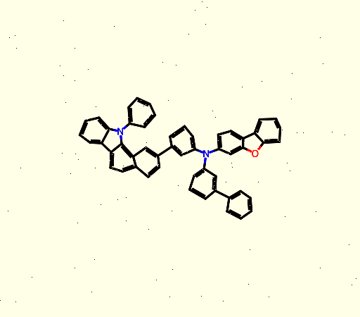 c1ccc(-c2cccc(N(c3cccc(-c4ccc5ccc6c7ccccc7n(-c7ccccc7)c6c5c4)c3)c3ccc4c(c3)oc3ccccc34)c2)cc1